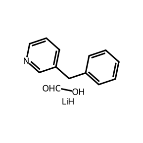 O=CO.[LiH].c1ccc(Cc2cccnc2)cc1